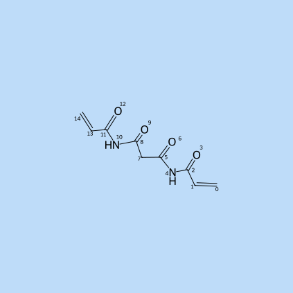 C=CC(=O)NC(=O)CC(=O)NC(=O)C=C